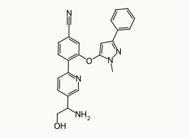 Cn1nc(-c2ccccc2)cc1Oc1cc(C#N)ccc1-c1ccc(C(N)CO)cn1